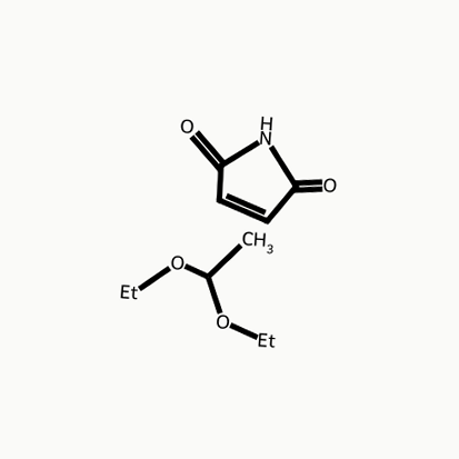 CCOC(C)OCC.O=C1C=CC(=O)N1